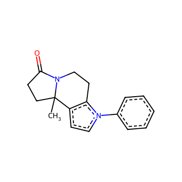 CC12CCC(=O)N1CCc1c2ccn1-c1ccccc1